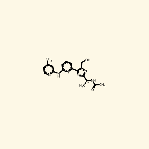 CC(=O)N[C@@H](C)c1nc(CO)c(-c2cccc(Nc3cc(C)ccn3)n2)s1